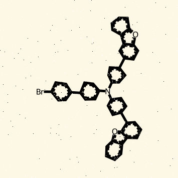 Brc1ccc(-c2ccc(N(c3ccc(-c4ccc5oc6ccccc6c5c4)cc3)c3ccc(-c4cccc5c4oc4ccccc45)cc3)cc2)cc1